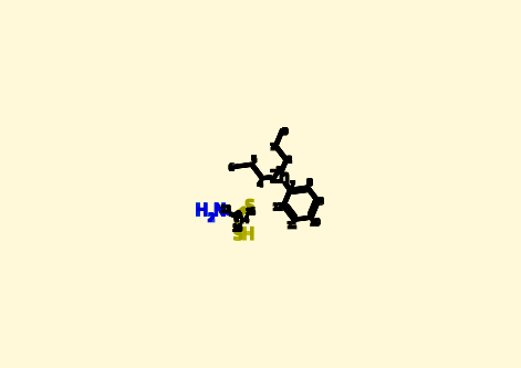 CC[CH2][Zn]([CH2]CC)[c]1ccccc1.NC(=S)S